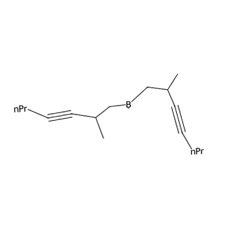 CCCC#CC(C)C[B]CC(C)C#CCCC